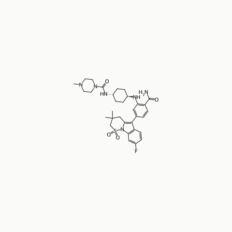 CN1CCN(C(=O)N[C@H]2CC[C@H](Nc3cc(-c4c5n(c6cc(F)ccc46)S(=O)(=O)CC(C)(C)C5)ccc3C(N)=O)CC2)CC1